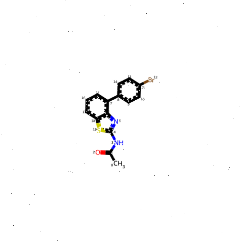 CC(=O)Nc1nc2c(-c3ccc(Br)cc3)cccc2s1